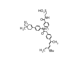 C=C/C(=C\C=C(/C)c1ccc([C@@H](Cc2ccc(C(=O)NCCS(=O)(=O)O)cc2)C(=O)Nc2ccc(C3=CCC(C)(C)CC3)cc2)cc1)C(C)(C)C